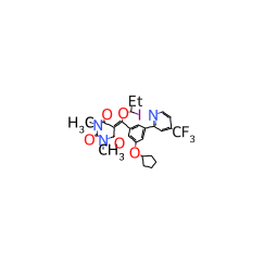 CCC(I)OC(=C1C(=O)N(C)C(=O)N(C)C1=O)c1cc(OC2CCCC2)cc(-c2cc(C(F)(F)F)ccn2)c1